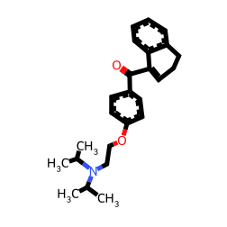 CC(C)N(CCOc1ccc(C(=O)C2=CCCc3ccccc32)cc1)C(C)C